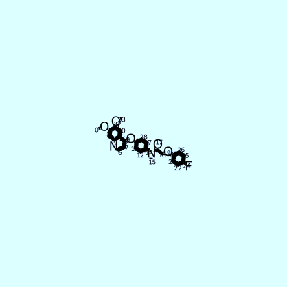 COc1cc2nccc(Oc3ccc(N(C)C(=O)COc4ccc(F)cc4)cc3)c2cc1OC